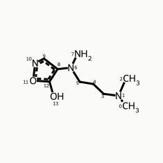 CN(C)CCCN(N)c1cnoc1O